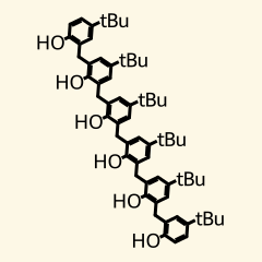 CC(C)(C)c1ccc(O)c(Cc2cc(C(C)(C)C)cc(Cc3cc(C(C)(C)C)cc(Cc4cc(C(C)(C)C)cc(Cc5cc(C(C)(C)C)cc(Cc6cc(C(C)(C)C)ccc6O)c5O)c4O)c3O)c2O)c1